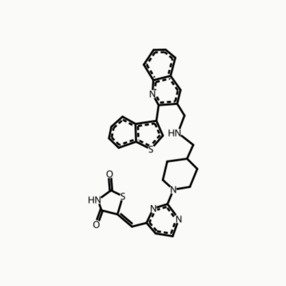 O=C1NC(=O)C(=Cc2ccnc(N3CCC(CNCc4cc5ccccc5nc4-c4csc5ccccc45)CC3)n2)S1